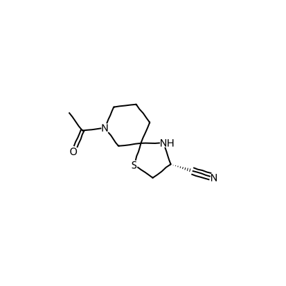 CC(=O)N1CCCC2(C1)N[C@H](C#N)CS2